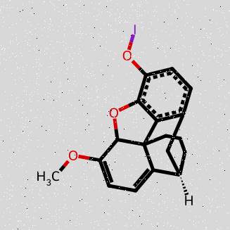 COC1=CC=C2[C@@H]3CCCC24c2c(ccc(OI)c2OC14)C3